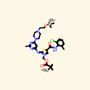 CCCCC(C)(C)C(=O)OCn1cc(C(=O)Nc2c(C)cccc2Cl)s/c1=N\c1cc(N2CCN(CCO[Si](C)(C)C(C)(C)C)CC2)nc(C)n1